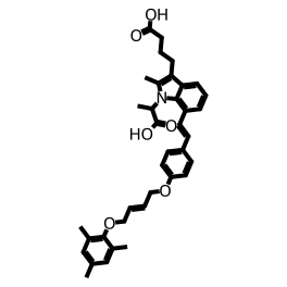 Cc1cc(C)c(OCC=CCOc2ccc(C=Cc3cccc4c(CCCC(=O)O)c(C)n(C(C)C(=O)O)c34)cc2)c(C)c1